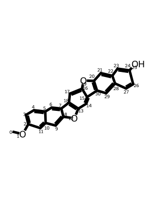 COc1ccc2cc3c(cc2c1)oc1cc2c(cc13)oc1cc3cc(O)ccc3cc12